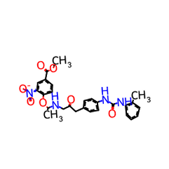 COC(=O)c1ccc(OC(C)NCC(=O)Cc2ccc(NC(=O)Nc3ccccc3C)cc2)c([N+](=O)[O-])c1